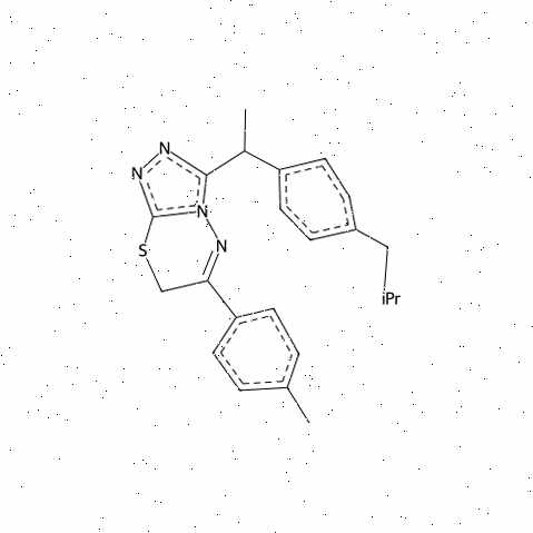 Cc1ccc(C2=Nn3c(nnc3C(C)c3ccc(CC(C)C)cc3)SC2)cc1